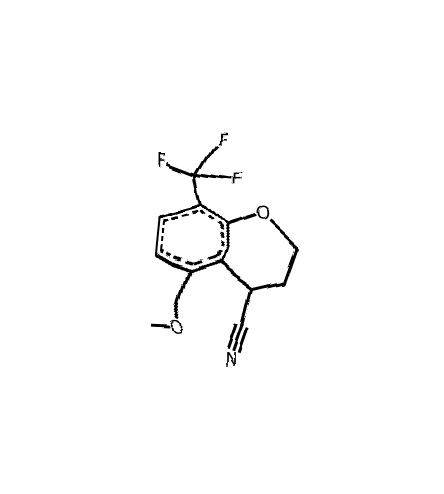 COc1ccc(C(F)(F)F)c2c1C(C#N)CCO2